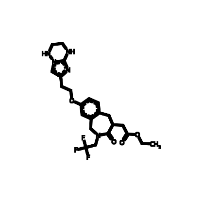 CCOC(=O)CC1Cc2ccc(OCCc3cn4c(n3)NCCN4)cc2CN(CC(F)(F)F)C1=O